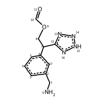 NCc1cccc(C(COC=O)c2nn[nH]n2)c1